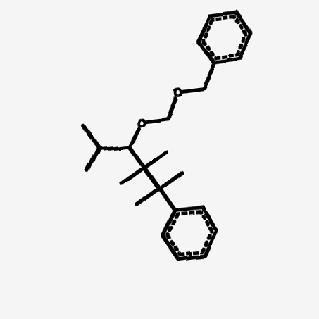 CC(C)C(OCOCc1ccccc1)C(C)(C)C(C)(C)c1ccccc1